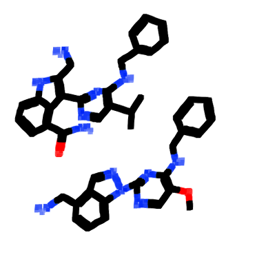 CC(C)c1cnc(-c2c(CN)[nH]c3cccc(C(N)=O)c23)nc1NCc1ccccc1.COc1cnc(-n2ncc3c(CN)cccc32)nc1NCc1ccccc1